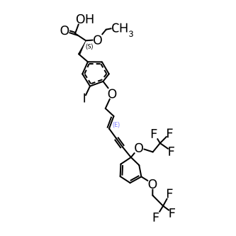 CCO[C@@H](Cc1ccc(OC/C=C/C#CC2(OCC(F)(F)F)C=CC=C(OCC(F)(F)F)C2)c(I)c1)C(=O)O